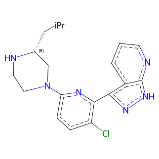 CC(C)C[C@@H]1CN(c2ccc(Cl)c(-c3n[nH]c4ncccc34)n2)CCN1